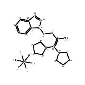 F[P-](F)(F)(F)(F)F.NC(OOn1nnc2ccccc21)=[N+](N1CCCC1)N1CCCC1